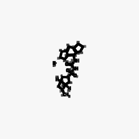 CN1C[C@@H]2CN(S(=O)(=O)NC(=O)Nc3c4c(cc5c3CCC5)CCC4)C[C@@H]21.[K]